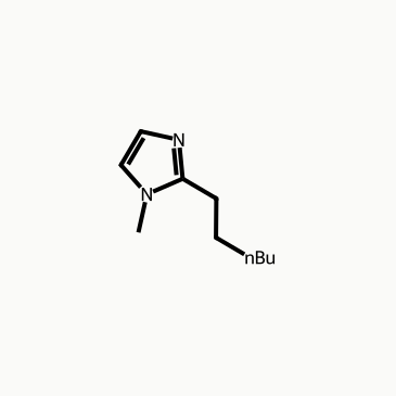 CCCCCCc1nccn1C